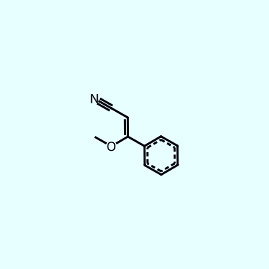 COC(=CC#N)c1ccccc1